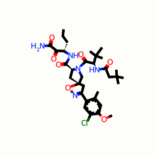 CCC[C@H](NC(=O)[C@@H]1C[C@]2(CC(c3cc(Cl)c(OC)cc3C)=NO2)CN1C(=O)[C@@H](NC(=O)CC(C)(C)C)C(C)(C)C)C(=O)C(N)=O